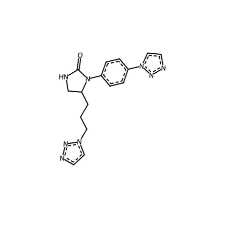 O=C1NCC(CCCn2ccnn2)N1c1ccc(-n2ccnn2)cc1